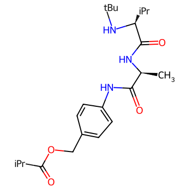 CC(C)C(=O)OCc1ccc(NC(=O)[C@H](C)NC(=O)[C@@H](NC(C)(C)C)C(C)C)cc1